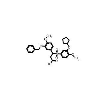 COc1ccc(C(CC(=O)O)S(=O)(=O)c2ccc(OC)c(OC3CCCC3)c2)cc1OCc1ccccc1